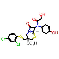 O=C(CO)N(C1=CCC(O)=CC1)C1C(=O)N2CC(CSc3ccc(Cl)cc3Cl)(C(=O)O)CS[C@H]12